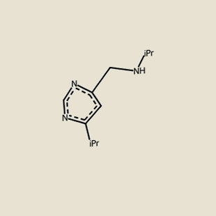 CC(C)NCc1cc(C(C)C)ncn1